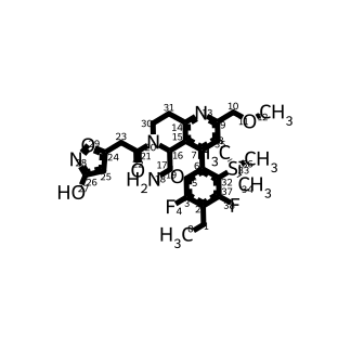 CCc1c(F)cc(-c2cc(COC)nc3c2C(C(N)=O)N(C(=O)Cc2cc(O)no2)CC3)c([Si](C)(C)C)c1F